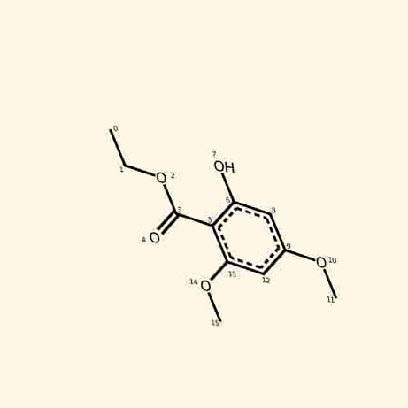 CCOC(=O)c1c(O)cc(OC)cc1OC